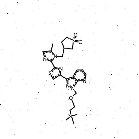 Cc1cnc(-c2nc(-c3nn(COCC[Si](C)(C)C)c4ncccc34)cs2)n1CC1CCS(=O)(=O)C1